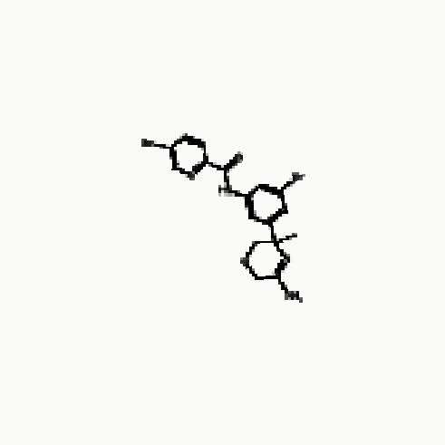 CC1(c2cc(Br)cc(NC(=O)c3ccc(Br)cn3)c2)COCC(N)=N1